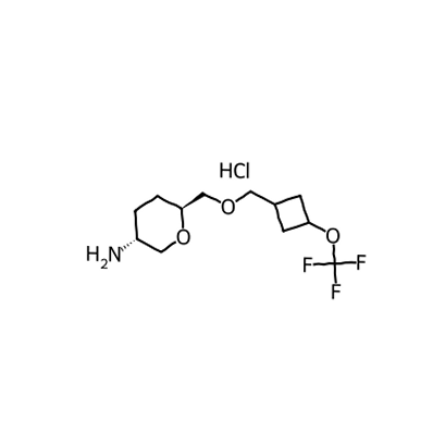 Cl.N[C@@H]1CC[C@@H](COCC2CC(OC(F)(F)F)C2)OC1